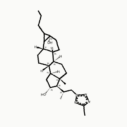 CCCC1C2[C@H]3CC[C@@H]4[C@H](CC[C@]5(C)[C@@H]([C@@H](C)Cn6nnc(C)n6)[C@H](O)C[C@@H]45)[C@H]3CC[C@]12O